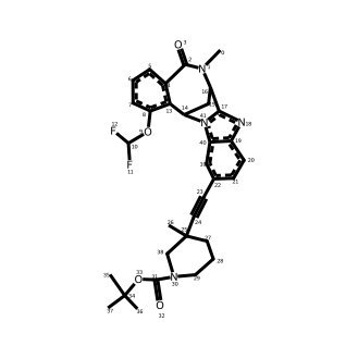 CN1C(=O)c2cccc(OC(F)F)c2C2CC1c1nc3ccc(C#CC4(C)CCCN(C(=O)OC(C)(C)C)C4)cc3n12